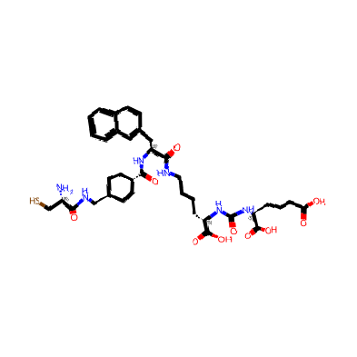 N[C@@H](CS)C(=O)NC[C@H]1CC[C@H](C(=O)N[C@@H](Cc2ccc3ccccc3c2)C(=O)NCCCC[C@H](NC(=O)N[C@@H](CCCC(=O)O)C(=O)O)C(=O)O)CC1